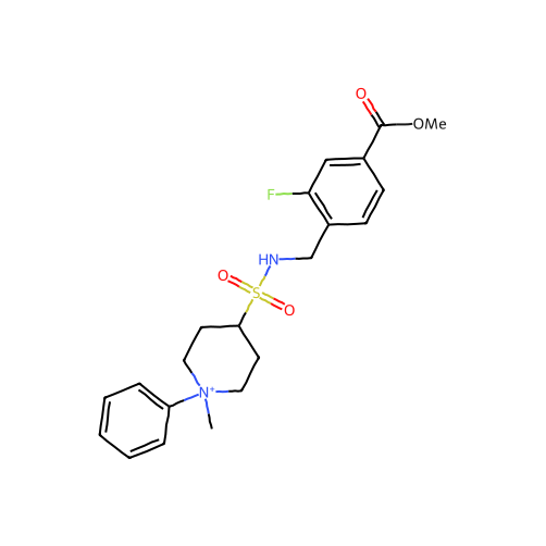 COC(=O)c1ccc(CNS(=O)(=O)C2CC[N+](C)(c3ccccc3)CC2)c(F)c1